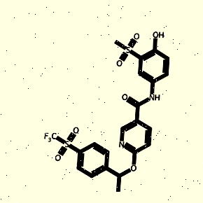 CC(Oc1ccc(C(=O)Nc2ccc(O)c(S(C)(=O)=O)c2)cn1)c1ccc(S(=O)(=O)C(F)(F)F)cc1